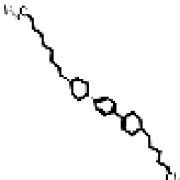 CCCCCCCCC[C@H]1CC[C@H](c2ccc(C3=CCC(CCCCCC)CC3)cc2)CC1